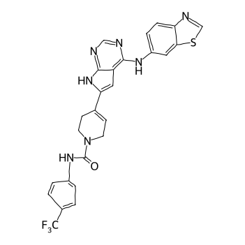 O=C(Nc1ccc(C(F)(F)F)cc1)N1CC=C(c2cc3c(Nc4ccc5ncsc5c4)ncnc3[nH]2)CC1